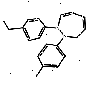 CCc1ccc(N2C=CC=CCN2c2ccc(C)cc2)cc1